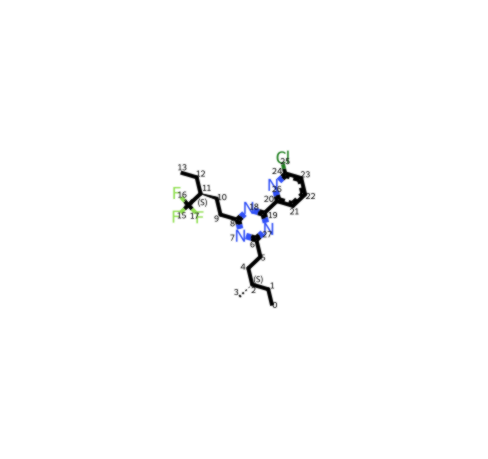 CC[C@H](C)CCc1nc(CC[C@H](CC)C(F)(F)F)nc(-c2cccc(Cl)n2)n1